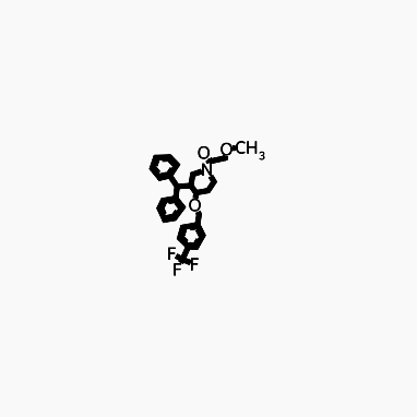 COCC(=O)N1CCC(OCc2ccc(C(F)(F)F)cc2)C(C(c2ccccc2)c2ccccc2)C1